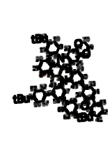 Cc1cc2c3c(c1)N(c1ccc(C(C)(C)C)cc1-c1ccccc1)c1cc4c(cc1B3c1ccc(-c3ccc5c(c3)oc3ccccc35)cc1N2c1cc(-c2ccc(C(C)(C)C)cc2)cc(-c2ccc(C(C)(C)C)cc2)c1)OCCO4